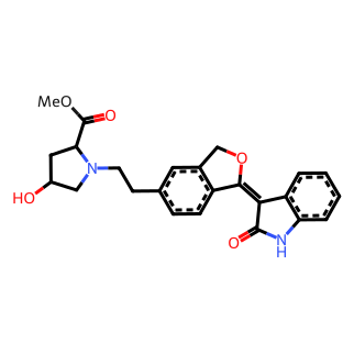 COC(=O)C1CC(O)CN1CCc1ccc2c(c1)CO/C2=C1/C(=O)Nc2ccccc21